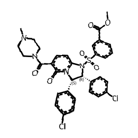 COC(=O)c1cccc(S(=O)(=O)N2c3ccc(C(=O)N4CCN(C)CC4)c(=O)n3[C@@H](c3ccc(Cl)cc3)[C@H]2c2ccc(Cl)cc2)c1